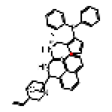 C=CC1CN2CCC1CC2C(NC(=S)N[C@H](C)C1=C(P(c2ccccc2)c2ccccc2)C=CC1)c1cccc2ccccc12